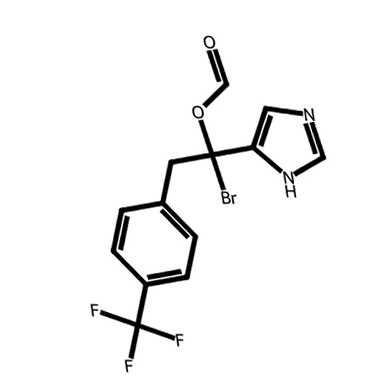 O=COC(Br)(Cc1ccc(C(F)(F)F)cc1)c1cnc[nH]1